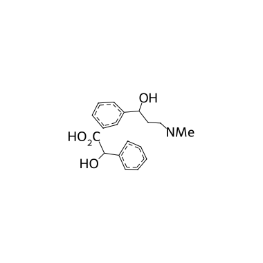 CNCCC(O)c1ccccc1.O=C(O)C(O)c1ccccc1